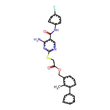 Cc1c(COC(=O)CSc2ncc(C(=O)Nc3ccc(F)cc3)c(N)n2)cccc1-c1ccccc1